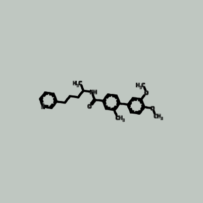 COc1ccc(-c2ccc(C(=O)NC(C)CCCc3cccnc3)cc2C)cc1OC